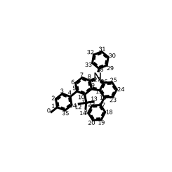 Cc1ccc(-c2ccc3c(c2C(C)(C)C)c2c(-c4ccccc4)cccc2n3-c2ccccc2)cc1